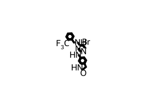 O=C1Cc2ccc(Nc3ncc(Br)c(NCc4ccccc4C(F)(F)F)n3)cc2N1